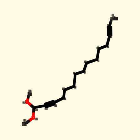 CCCCC#CCCCCCCCCCC#CC(OCC)OCC